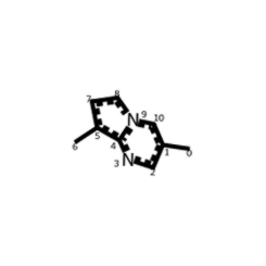 Cc1cnc2c(C)ccn2c1